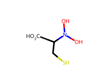 O=C(O)C(CS)N(O)O